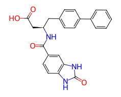 O=C(O)C[C@@H](Cc1ccc(-c2ccccc2)cc1)NC(=O)c1ccc2[nH]c(=O)[nH]c2c1